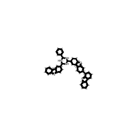 C1=C(C2NC(c3ccccc3)NC(c3ccc4sc5ccccc5c4c3)N2)CCc2oc3cc(-c4cccc5c4sc4ccccc45)ccc3c21